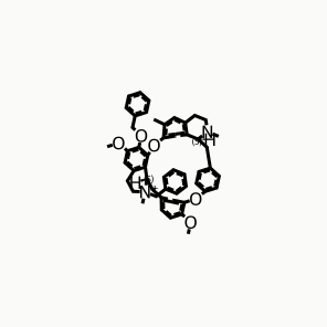 COc1ccc2cc1Oc1ccc(cc1)C[C@H]1c3cc(c(C)cc3CCN1C)Oc1c(OCc3ccccc3)c(OC)cc3c1[C@H](C2)[N+](C)(Cc1ccccc1)CC3